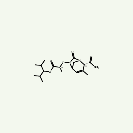 C=C(N)[C@@H]1C(C)=CC2CN1C(=O)N2O[C@@H](F)C(=O)OC(C(C)C)C(C)C